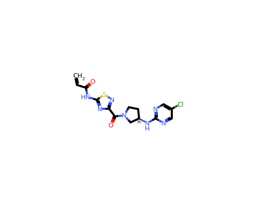 C=CC(=O)Nc1nc(C(=O)N2CC[C@@H](Nc3ncc(Cl)cn3)C2)ns1